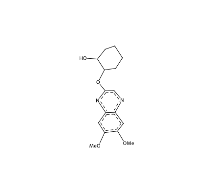 COc1cc2ncc(OC3CCCCC3O)nc2cc1OC